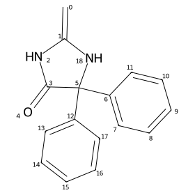 C=C1NC(=O)C(c2ccccc2)(c2ccccc2)N1